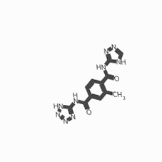 Cc1cc(C(=O)Nc2nnn[nH]2)ccc1C(=O)Nc1nnc[nH]1